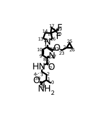 CC(C[C@H](C)NC(=O)c1ccc(N2CCC3(C2)CC3(F)F)c(OCC2CC2)n1)C(N)=O